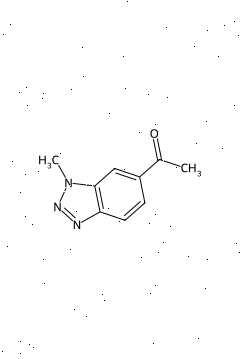 CC(=O)c1ccc2nnn(C)c2c1